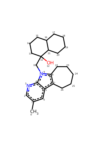 Cc1cnc2c(c1)c1c(n2CC2(O)CCCC3CCCCC32)CCCCC1